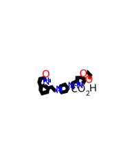 Cn1c(=O)ccc2cccc(CCN3CCC(N(Cc4cc5c(cn4)OCCO5)C(=O)O)CC3)c21